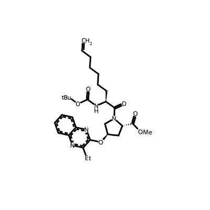 C=CCCCCC[C@H](NC(=O)OC(C)(C)C)C(=O)N1C[C@H](Oc2nc3ccccc3nc2CC)C[C@H]1C(=O)OC